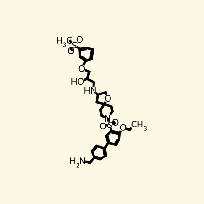 CCOc1ccc(-c2ccc(CN)cc2)cc1S(=O)(=O)N1CCC2(CC1)CC(NCC(O)COc1cccc(S(C)(=O)=O)c1)CO2